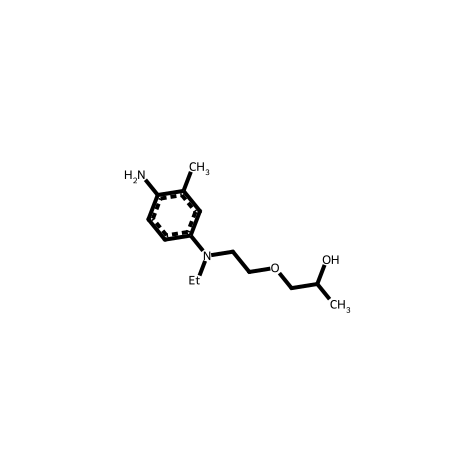 CCN(CCOCC(C)O)c1ccc(N)c(C)c1